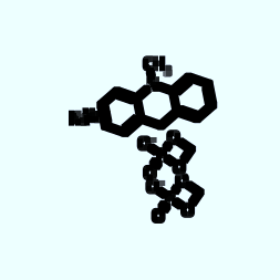 CN1c2ccccc2Cc2ccccc21.O=P1([O-])OCO1.O=P1([O-])OCO1.[Na+].[Na+]